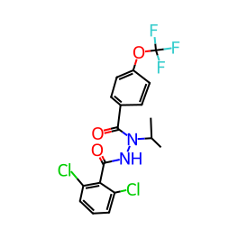 CC(C)N(NC(=O)c1c(Cl)cccc1Cl)C(=O)c1ccc(OC(F)(F)F)cc1